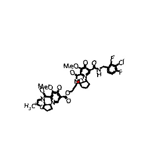 COc1c2n(cc(C(=O)NCc3ccc(F)c(Cl)c3F)c1=O)C1CCCC13OC(COC(=O)c1cn4c(c(OC)c1=O)C(=O)N1C[C@H](C)OC15CCCC45)CN3C2=O